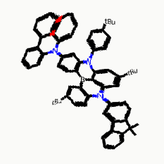 CC(C)(C)c1ccc(N2c3cc(N(c4ccccc4)c4ccccc4-c4ccccc4)ccc3B3c4cc(C(C)(C)C)ccc4N(c4ccc5c(c4)-c4ccccc4C5(C)C)c4cc(C(C)(C)C)cc2c43)cc1